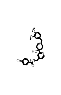 COc1ccc(CN2CCC(O)(c3cc(CNC(=O)c4ccc(Cl)cc4)ccn3)CC2)cc1OC